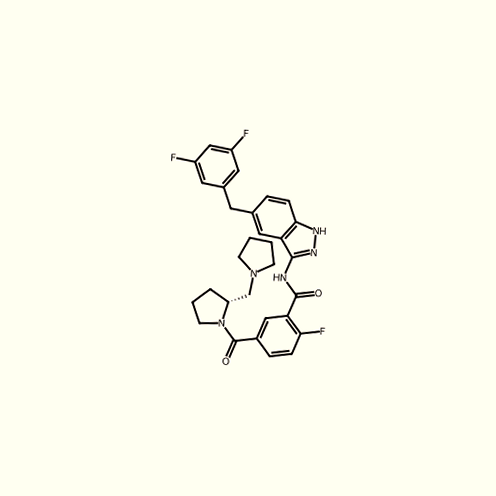 O=C(Nc1n[nH]c2ccc(Cc3cc(F)cc(F)c3)cc12)c1cc(C(=O)N2CCC[C@@H]2CN2CCCC2)ccc1F